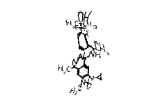 Cc1nnc(N[C@H](C)c2cccc(C(F)(F)C(C)(C)O)c2F)c2cc3c(cc12)n(C)c(=O)n3C1CC1